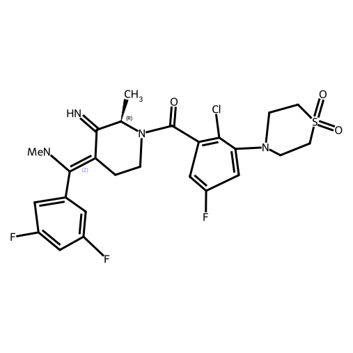 CN/C(=C1/CCN(C(=O)c2cc(F)cc(N3CCS(=O)(=O)CC3)c2Cl)[C@H](C)C1=N)c1cc(F)cc(F)c1